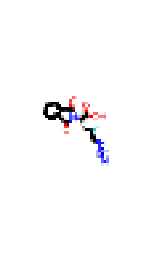 [N-]=[N+]=NCC(F)C[C@@H](C(=O)O)N1C(=O)c2ccccc2C1=O